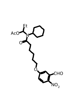 CCC(OC(C)=O)N(C(=O)CCCCCOc1ccc([N+](=O)[O-])c(C=O)c1)C1CCCCC1